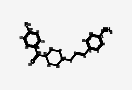 Nc1ccc(/C=C/CN2CCC(C(=O)c3ccc(F)cc3)CC2)cc1